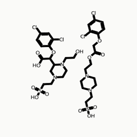 O=C(COc1ccc(Cl)cc1Cl)OCCN1CCN(CCS(=O)(=O)O)CC1.O=C(O)C(Oc1ccc(Cl)cc1Cl)C1CN(CCS(=O)(=O)O)CCN1CCO